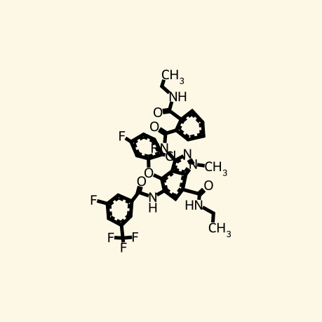 CCNC(=O)c1ccccc1C(=O)Nc1nn(C)c2c(C(=O)NCC)cc(NC(=O)c3cc(F)cc(C(F)(F)F)c3)c(Oc3cc(F)ccc3Cl)c12